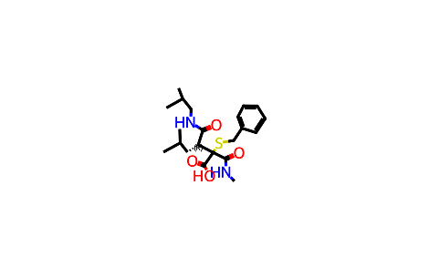 CNC(=O)C(SCc1ccccc1)(C(=O)O)[C@H](CC(C)C)C(=O)NCC(C)C